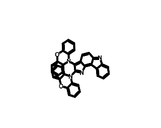 c1ccc2c(c1)N=c1ccc3c(c1-2)N=C(N1c2ccccc2Oc2ccccc21)C=3N1c2ccccc2Oc2ccccc21